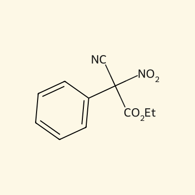 CCOC(=O)C(C#N)(c1ccccc1)[N+](=O)[O-]